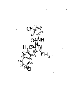 Cc1nn(C(=O)Nc2cccc(Cl)c2)c(C)c1Cc1csc2ccc(Cl)cc12